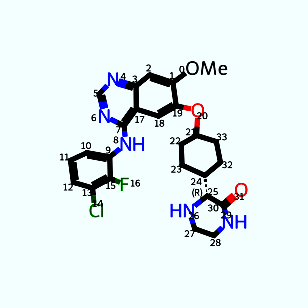 COc1cc2ncnc(Nc3cccc(Cl)c3F)c2cc1OC1CCC([C@H]2NCCNC2=O)CC1